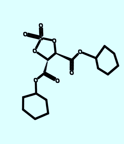 O=C(OC1CCCCC1)[C@@H]1OS(=O)(=O)O[C@H]1C(=O)OC1CCCCC1